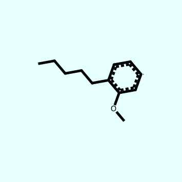 CCCCCc1cc[c]cc1OC